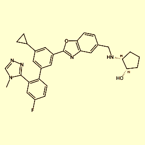 Cn1cnnc1-c1cc(F)ccc1-c1cc(-c2nc3cc(CN[C@@H]4CCC[C@@H]4O)ccc3o2)cc(C2CC2)c1